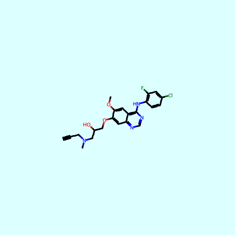 C#CCN(C)CC(O)COc1cc2ncnc(Nc3ccc(Cl)cc3F)c2cc1OC